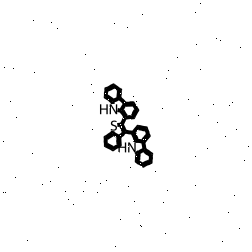 c1ccc2c(c1)[nH]c1c(-c3sc4ccccc4c3-c3cccc4c3[nH]c3ccccc34)cccc12